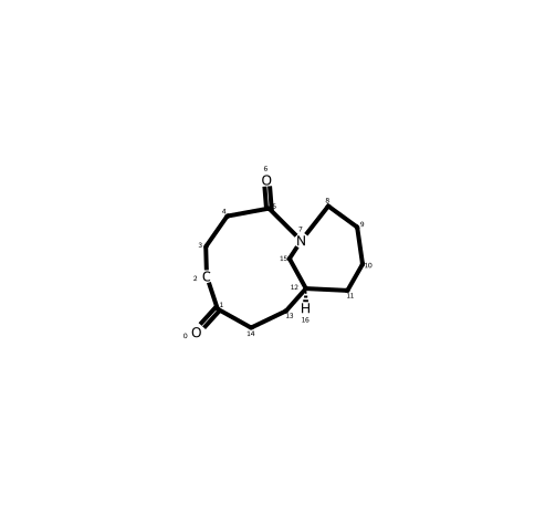 O=C1CCCC(=O)N2CCCC[C@@H](CC1)C2